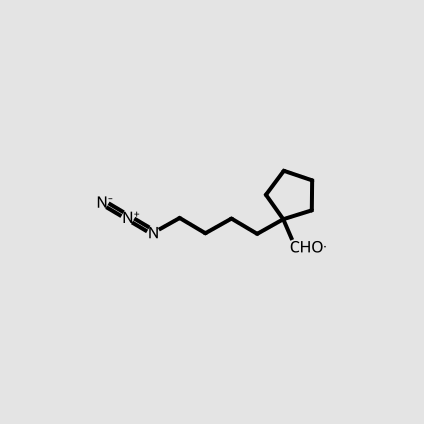 [N-]=[N+]=NCCCCC1([C]=O)CCCC1